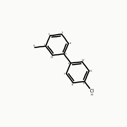 Cc1cccc(-c2c[c]c(Cl)cc2)c1